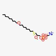 CCCCCCCCCOCCCCCCCCSCC(COP(=O)(O)OCC[N+](C)(C)C)OC